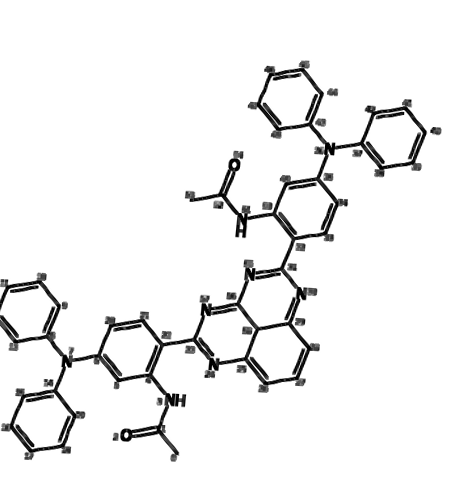 CC(=O)Nc1cc(N(c2ccccc2)c2ccccc2)ccc1C1=NC2=CC=CC3=NC(c4ccc(N(c5ccccc5)c5ccccc5)cc4NC(C)=O)=NC(=N1)C23